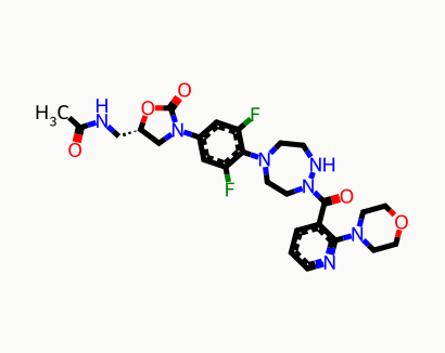 CC(=O)NC[C@H]1CN(c2cc(F)c(N3CCNN(C(=O)c4cccnc4N4CCOCC4)CC3)c(F)c2)C(=O)O1